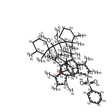 [2H]OC(N1Nc2c([2H])nc3c(c([2H])c([2H])n3[2H])c2C1[2H])(C1([2H])CCCC([2H])C1([2H])[2H])C(O[2H])(N1N([2H])c2c([2H])nc3c(c([2H])c([2H])n3S(=O)(=O)c3ccccc3)c2C1([2H])[2H])C1([2H])CCCC([2H])C1([2H])[2H]